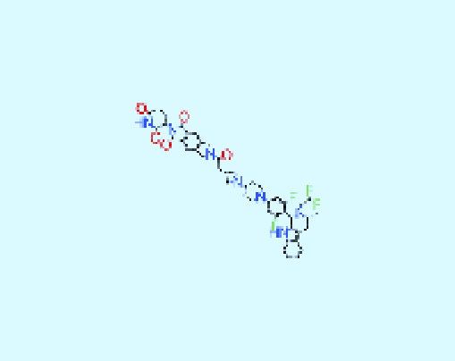 C[C@@H]1Cc2c([nH]c3ccccc23)[C@@H](c2c(F)cc(N3CCC(N4CC(CC(=O)N5Cc6cc7c(cc6C5)C(=O)N(C5CCC(=O)NC5=O)C7=O)C4)CC3)cc2F)N1CC(F)F